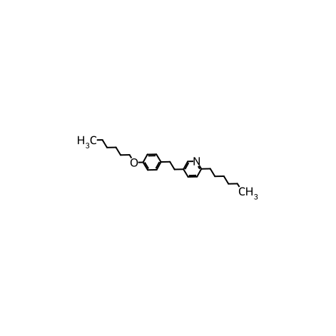 CCCCCCOc1ccc(CCc2ccc(CCCCCC)nc2)cc1